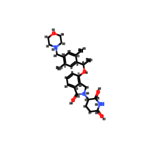 [2H]c1cc(C([2H])Oc2cccc3c2CN(C2CCC(=O)NC2=O)C3=O)c([2H])cc1CN1CCOCC1